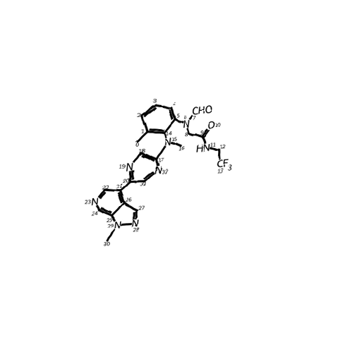 Cc1cccc(N(C=O)CC(=O)NCC(F)(F)F)c1N(C)c1cnc(-c2cncc3c2cnn3C)cn1